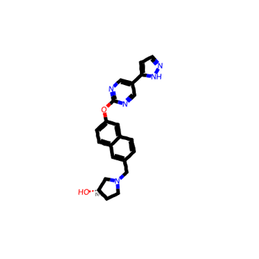 O[C@H]1CCN(Cc2ccc3cc(Oc4ncc(-c5ccn[nH]5)cn4)ccc3c2)C1